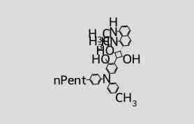 CCCCCc1ccc(N(c2ccc(C)cc2)c2ccc(C3C(O)[C@@H](c4ccc5cccc6c5c4NC(C)(C)N6)[C@H]3O)c(O)c2)cc1